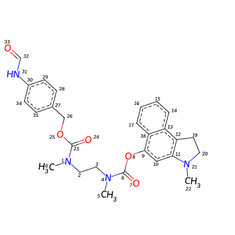 CN(CCN(C)C(=O)Oc1cc2c(c3ccccc13)CCN2C)C(=O)OCc1ccc(NC=O)cc1